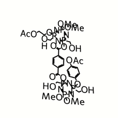 COP1(OC)=NP(CO)(OC(=O)c2ccc(C(=O)OP3(CO)=NP(CO)(Oc4ccc(OC(C)=O)cc4)=NP(OC)(OC)=N3)cc2)=NP(CO)(OCCOC(C)=O)=N1